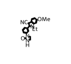 CCN1c2cc(OC)ccc2C(C#N)C1c1cccc(N2CCNC2=O)c1